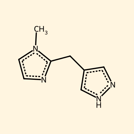 Cn1ccnc1Cc1cn[nH]c1